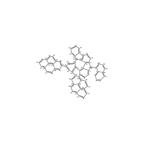 c1ccc2c(-n3c4ccccc4c4c3ccc3c5ccccc5n(-c5nc(-c6cc7ccc8cccc9ccc(c6)c7c89)cc(-c6cc7ccc8cccc9ccc(c6)c7c89)n5)c34)cccc2c1